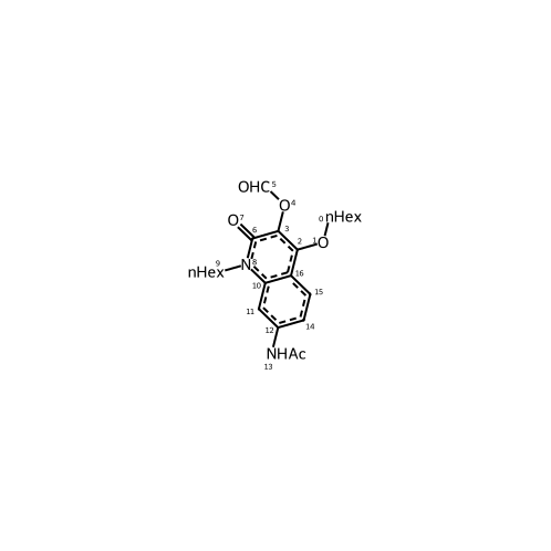 CCCCCCOc1c(OC=O)c(=O)n(CCCCCC)c2cc(NC(C)=O)ccc12